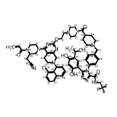 C=CC(=O)N1CCN(c2nc(OCCN3CCN(C(=O)C4CCN(Cc5ccc(-n6c(C(=O)NCC(F)(F)F)nnc6-c6cc(C(C)C)c(O)cc6O)cc5)CC4)CC3)nc3c2CCN(c2cccc4cccc(Cl)c24)C3)CC1CC#N